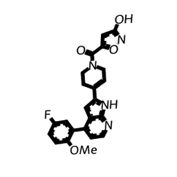 COc1ccc(F)cc1-c1ccnc2[nH]c(C3=CCN(C(=O)c4cc(O)no4)CC3)cc12